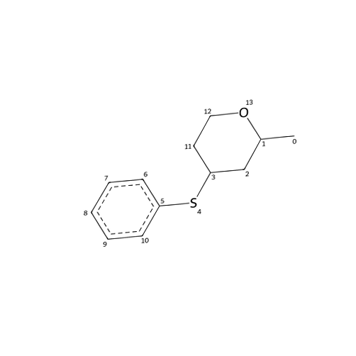 CC1CC(Sc2ccccc2)CCO1